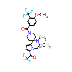 COc1ccc(C(=O)N2CCC3(CC2)c2ccc(C(=O)C(F)(F)F)n2C[C@H](C)N3C)cc1C(F)(F)F